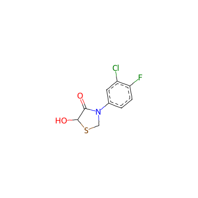 O=C1C(O)SCN1c1ccc(F)c(Cl)c1